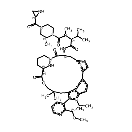 CCn1c(-c2cccnc2[C@H](C)OC)c2c3cc(ccc31)-c1csc(n1)C[C@H](NC(=O)[C@H](C(C)C)N(C)C(=O)N1CCN(C(=O)[C@H]3CN3)C[C@H]1C)C(=O)N1CCC[C@H](N1)C(=O)OCC(C)(C)C2